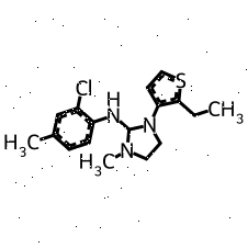 CCc1sccc1N1CCN(C)C1Nc1ccc(C)cc1Cl